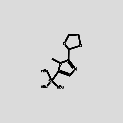 CCC[CH2][Sn]([CH2]CCC)([CH2]CCC)[c]1cnc(C2OCCO2)n1C